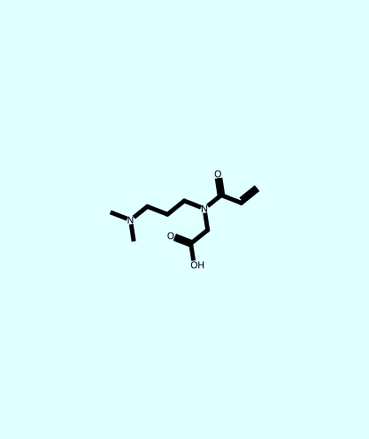 C=CC(=O)N(CCCN(C)C)CC(=O)O